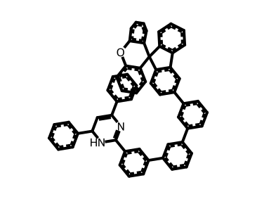 C1=C(c2ccccc2)N=C(c2cccc(-c3cccc(-c4cccc(-c5ccc6c(c5)-c5ccccc5C65c6ccccc6Oc6ccccc65)c4)c3)c2)NC1c1ccccc1